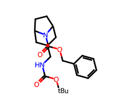 CC(C)(C)OC(=O)NCC1CC2CCC(C1)N2C(=O)OCc1ccccc1